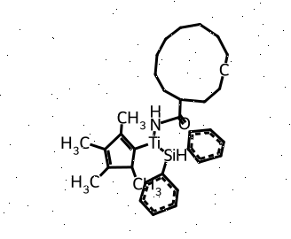 CC1=C(C)C(C)[C]([Ti]([NH]C(=O)C2CCCCCCCCCCC2)[SiH](c2ccccc2)c2ccccc2)=C1C